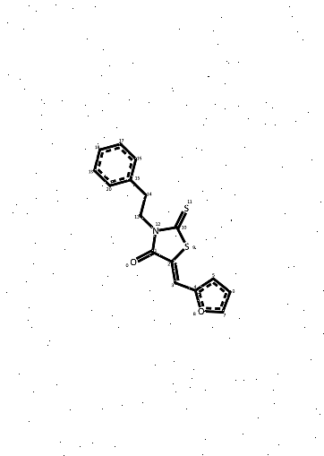 O=C1C(=Cc2ccco2)SC(=S)N1CCc1ccccc1